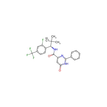 CC(C)(C)[C@@H](NC(=O)c1cc(=O)[nH]c(-c2ccccc2)n1)c1ccc(C(F)(F)F)cc1F